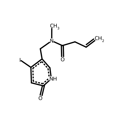 C=CCC(=O)N(C)Cc1c[nH]c(=O)cc1I